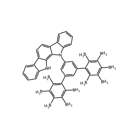 Bc1c(B)c(B)c(-c2cc(-c3c(B)c(B)c(B)c(B)c3B)cc(-n3c4ccccc4c4ccc5c6ccccc6[nH]c5c43)c2)c(B)c1B